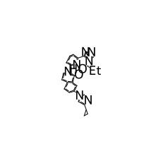 CCC(O)n1cnnc1-c1cccc(-n2ccc3ccc(-n4cnc(C5CC5)c4)cc3c2=O)n1